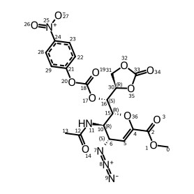 COC(=O)C1=C[C@H](N=[N+]=[N-])[C@@H](NC(C)=O)[C@H]([C@H](OC(=O)Oc2ccc([N+](=O)[O-])cc2)[C@H]2COC(=O)O2)O1